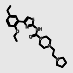 CCOc1ccc(CC)cc1-c1csc(NC(=O)N2CCN(CCN3CCCC3)CC2)n1